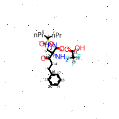 CCCC(CCC)S(=O)(=O)C[C@](N)(C(N)=O)C(=O)CCc1ccccc1.O=C(O)C(F)(F)F